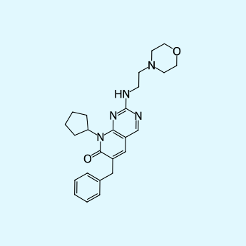 O=c1c(Cc2ccccc2)cc2cnc(NCCN3CCOCC3)nc2n1C1CCCC1